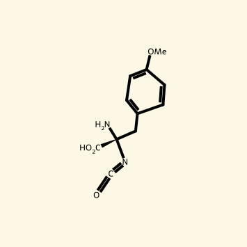 COc1ccc(C[C@@](N)(N=C=O)C(=O)O)cc1